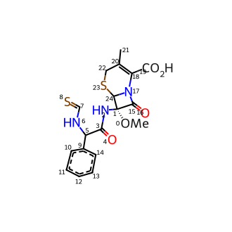 CO[C@@]1(NC(=O)C(NC=S)c2ccccc2)C(=O)N2C(C(=O)O)=C(C)CSC21